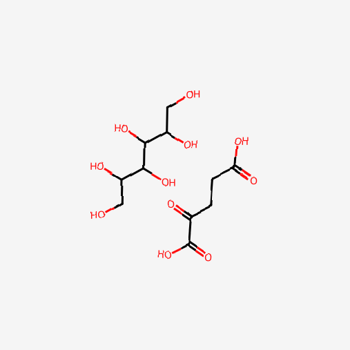 O=C(O)CCC(=O)C(=O)O.OCC(O)C(O)C(O)C(O)CO